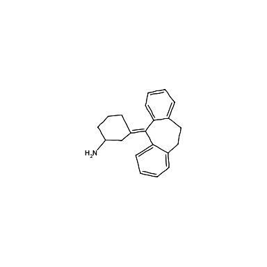 NC1CCCC(=C2c3ccccc3CCc3ccccc32)C1